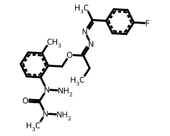 CCC(=N/N=C(/C)c1ccc(F)cc1)OCc1c(C)cccc1N(N)C(=O)N(C)N